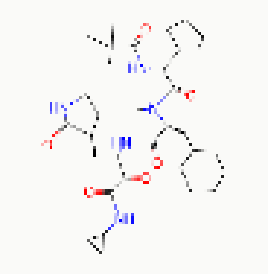 CN(C(=O)[C@H](NC(=O)C(C)(C)C)C1CCCC1)[C@@H](CC1CCCCC1)C(=O)N[C@@H](C[C@@H]1CCNC1=O)C(=O)C(=O)NC1CC1